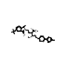 Cc1ccc(-c2ccc(CCC(O)C(CCN3C(=O)c4ccc(C(C)(C)C)cc4C3=O)C(=O)O)cc2)cc1